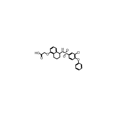 O=C(O)COc1cccc2c1CCCC2NS(=O)(=O)c1ccc(Oc2ccccc2)c(Cl)c1